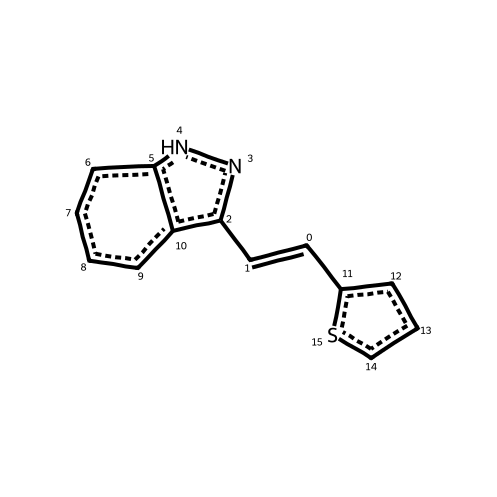 C(=Cc1n[nH]c2ccccc12)c1cccs1